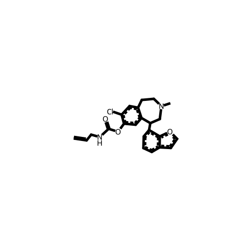 C=CCNC(=O)Oc1cc2c(cc1Cl)CCN(C)CC2c1cccc2ccoc12